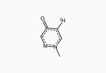 [2H]c1cn(C)ncc1=O